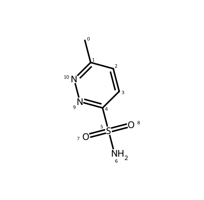 Cc1ccc(S(N)(=O)=O)nn1